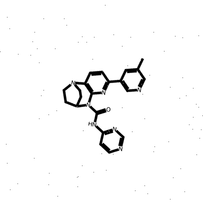 Cc1cncc(-c2ccc3c(n2)N(C(=O)Nc2ccncn2)C2CCN3CC2)c1